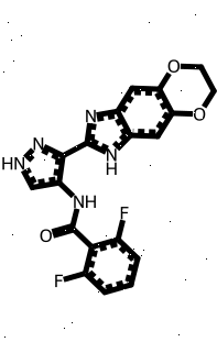 O=C(Nc1c[nH]nc1-c1nc2cc3c(cc2[nH]1)OCCO3)c1c(F)cccc1F